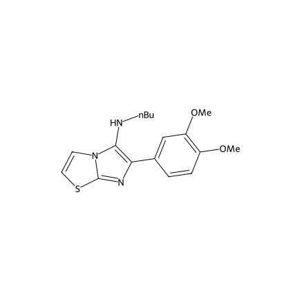 CCCCNc1c(-c2ccc(OC)c(OC)c2)nc2sccn12